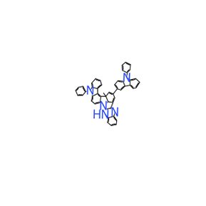 CC12C=C(c3ccc4c(c3)c3ccccc3n4-c3ccccc3)C=C3C4=Nc5ccccc5NC4N(c4ccc5c(c41)c1ccccc1n5-c1ccccc1)C32